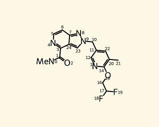 CNC(=O)c1nccc2nn(Cc3cnc(OCC(F)F)c(C)c3)cc12